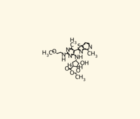 COCCNc1nc(C)c(-c2nc3c(C)nccc3s2)c(N[C@@H]2C[C@@H]3C(=O)OC(C)O[C@H]3[C@H]2O)n1